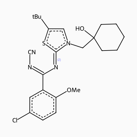 COc1ccc(Cl)cc1C(=NC#N)/N=c1\sc(C(C)(C)C)cn1CC1(O)CCCCC1